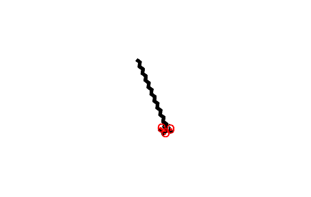 CCCCCCCCCCCCCCCCCCCC[Si](OC)(OC)OC